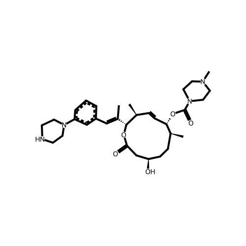 C/C(=C\c1cccc(N2CCNCC2)c1)[C@H]1OC(=O)C[C@H](O)CC[C@H](C)[C@@H](OC(=O)N2CCN(C)CC2)/C=C/[C@@H]1C